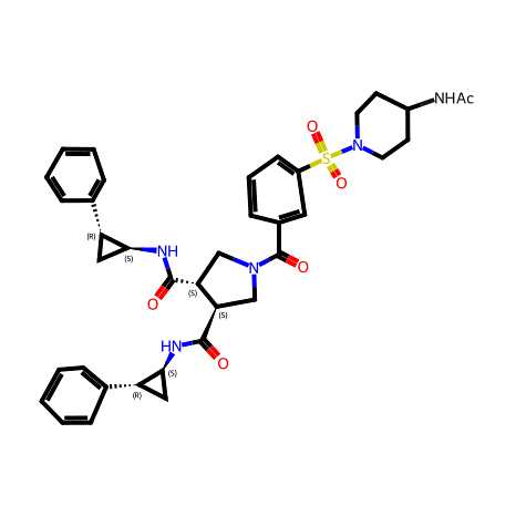 CC(=O)NC1CCN(S(=O)(=O)c2cccc(C(=O)N3C[C@@H](C(=O)N[C@H]4C[C@@H]4c4ccccc4)[C@H](C(=O)N[C@H]4C[C@@H]4c4ccccc4)C3)c2)CC1